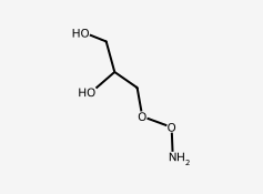 NOOCC(O)CO